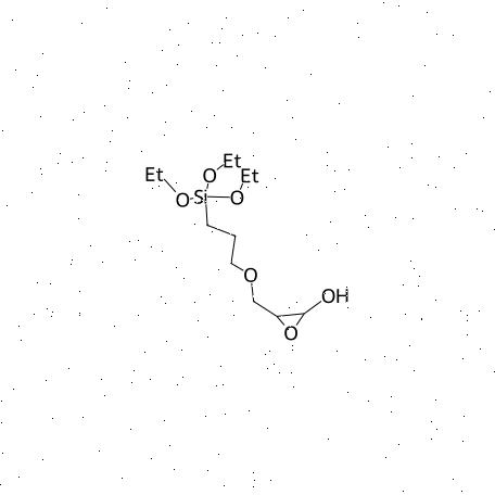 CCO[Si](CCCOCC1OC1O)(OCC)OCC